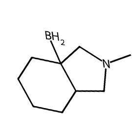 BC12CCCCC1CN(C)C2